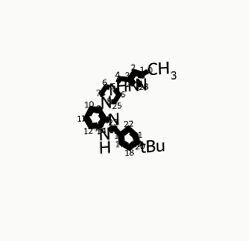 Cc1cc(CN2CCN(c3cccc4[nH]c(-c5ccc(C(C)(C)C)cc5)nc34)CC2)[nH]n1